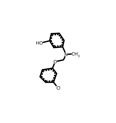 CN(COc1cccc(Cl)c1)c1cccc(O)c1